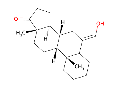 C[C@]12CCCCC1C(=CO)C[C@@H]1[C@H]2CC[C@]2(C)C(=O)CC[C@@H]12